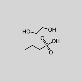 CCCS(=O)(=O)O.OCCO